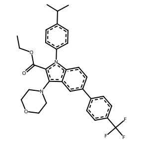 CCOC(=O)c1c(N2CCOCC2)c2cc(-c3ccc(C(F)(F)F)cc3)ccc2n1-c1ccc(C(C)C)cc1